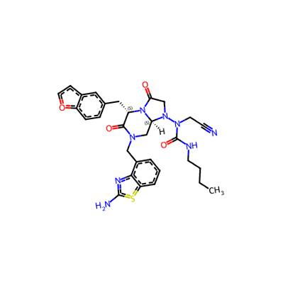 CCCCNC(=O)N(CC#N)N1CC(=O)N2[C@@H](Cc3ccc4occc4c3)C(=O)N(Cc3cccc4sc(N)nc34)C[C@@H]21